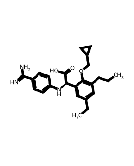 CCCc1cc(CC)cc([C@@H](Nc2ccc(C(=N)N)cc2)C(=O)O)c1OCC1CC1